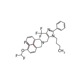 CCCCn1c(-c2ccccc2)nc(C(F)(F)F)c1CN(Cc1ccccc1)Cc1ccc(OC(F)F)c(F)c1